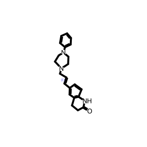 O=C1CCc2cc(/C=C/CN3CCN(c4ccccc4)CC3)ccc2N1